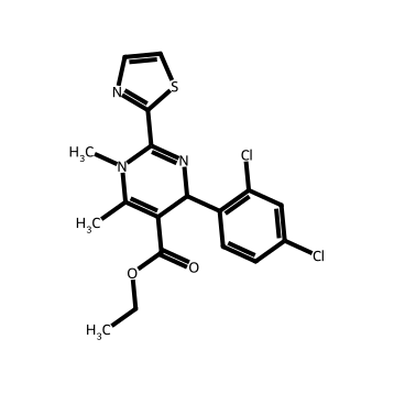 CCOC(=O)C1=C(C)N(C)C(c2nccs2)=NC1c1ccc(Cl)cc1Cl